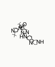 CC(C)n1c(=O)c2cnc(Nc3ccc4c5c(n(C)c4c3)CCNC5)nc2n1-c1ccnc(C(C)(C)C)c1